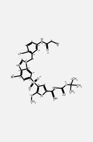 CSc1sc(C(=N)NC(=O)OC(C)(C)C)cc1S(=O)(=O)c1cc(Br)c2ncn(Cc3cc(NC(=O)CBr)ccc3F)c2c1